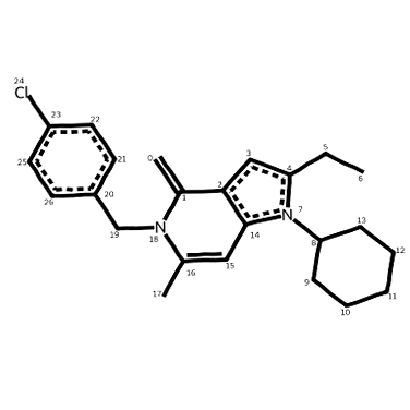 C=C1c2cc(CC)n(C3CCCCC3)c2C=C(C)N1Cc1ccc(Cl)cc1